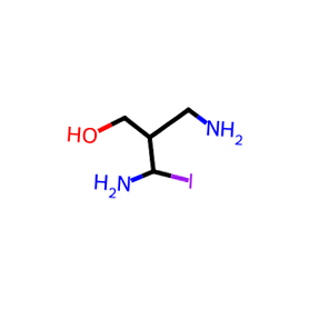 NCC(CO)C(N)I